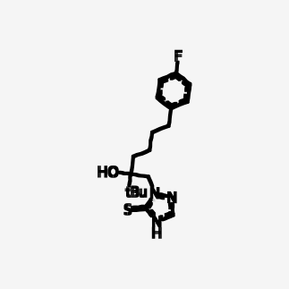 CC(C)(C)C(O)(CCCCc1ccc(F)cc1)Cn1nc[nH]c1=S